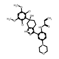 C=CC(=O)Nc1ccc(N2CCOCC2)cc1-c1n[nH]c2c1CC[C@@](O)(c1c(Cl)c(OC)cc(OC)c1Cl)C2